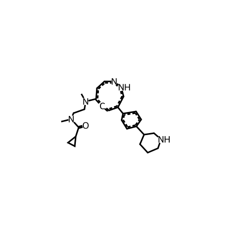 CN(CCN(C)c1ccn[nH]cc(-c2ccc(C3CCCNC3)cc2)cc1)C(=O)C1CC1